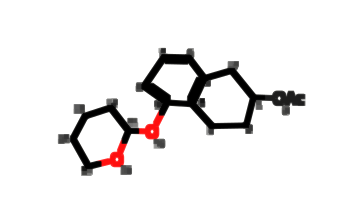 CC(=O)OC1CCc2c(cccc2OC2CCCCO2)C1